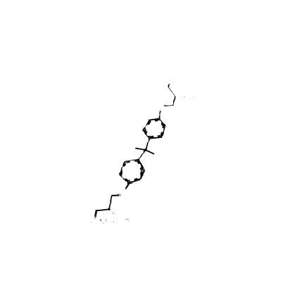 COC[C@H](O)COc1ccc(C(C)(C)c2ccc(OC[C@H](CCl)OC(C)=O)cc2)cc1